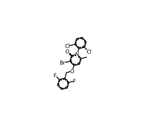 Cc1cc(OCc2c(F)cccc2F)c(Br)c(=O)n1-c1c(Cl)cccc1Cl